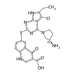 CCc1[nH]c2nc(Sc3ccc4[nH]cc(C(=O)O)c(=O)c4c3)nc(N3CC[C@@H](N)C3)c2c1Cl